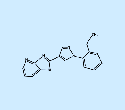 COc1ccccc1-n1cc(-c2nc3ncccc3[nH]2)cn1